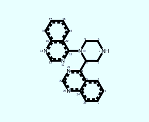 c1ccc2c(C3CNCCN3c3ncnc4ccccc34)ncnc2c1